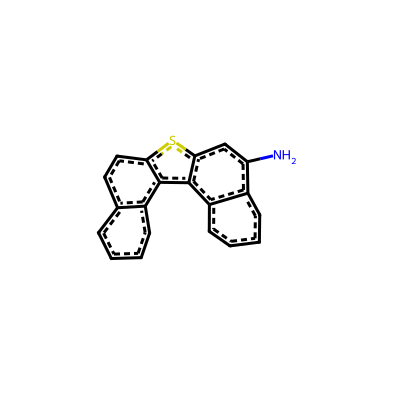 Nc1cc2sc3ccc4ccccc4c3c2c2ccccc12